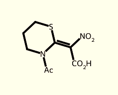 CC(=O)N1CCCSC1=C(C(=O)O)[N+](=O)[O-]